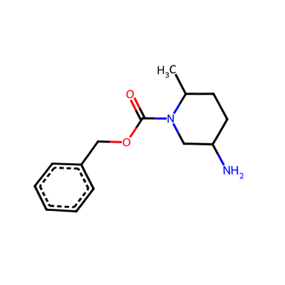 CC1CCC(N)CN1C(=O)OCc1ccccc1